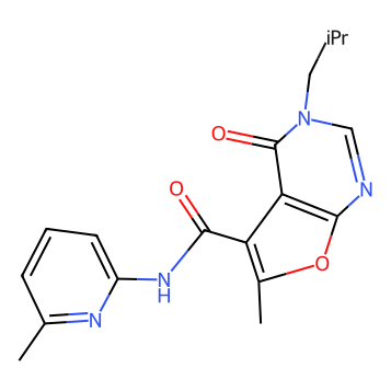 Cc1cccc(NC(=O)c2c(C)oc3ncn(CC(C)C)c(=O)c23)n1